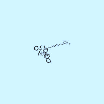 CCCCCCCCCc1cc(-n2nc3ccccc3n2)c(O)c(C(C)(C)c2ccccc2)c1